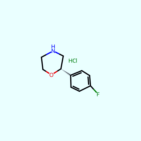 Cl.Fc1ccc([C@H]2CNCCO2)cc1